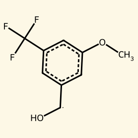 COc1cc([CH]O)cc(C(F)(F)F)c1